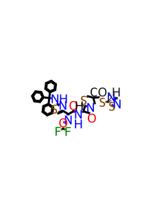 O=C(NC1C(=O)N2CC(CSc3ncns3)(C(=O)O)CS[C@H]12)C(=NOC(F)F)c1csc(NC(c2ccccc2)(c2ccccc2)c2ccccc2)n1